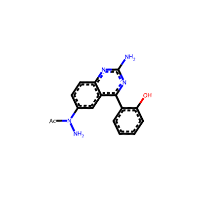 CC(=O)N(N)c1ccc2nc(N)nc(-c3ccccc3O)c2c1